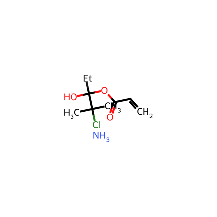 C=CC(=O)OC(O)(CC)C(C)(C)Cl.N